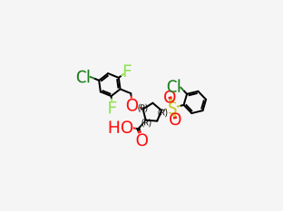 O=C(O)[C@@H]1C[C@@H](S(=O)(=O)c2ccccc2Cl)C[C@H]1OCc1c(F)cc(Cl)cc1F